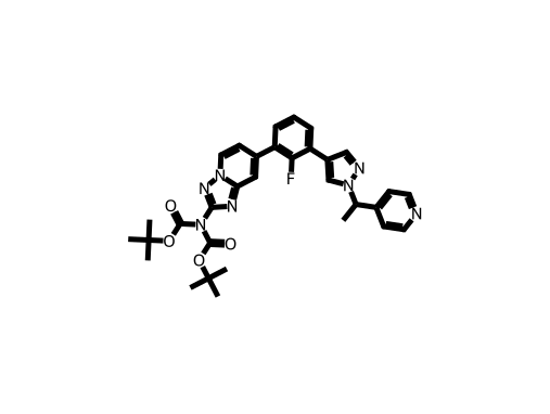 CC(c1ccncc1)n1cc(-c2cccc(-c3ccn4nc(N(C(=O)OC(C)(C)C)C(=O)OC(C)(C)C)nc4c3)c2F)cn1